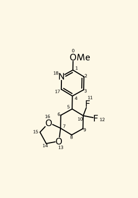 COc1ccc(C2CC3(CCC2(F)F)OCCO3)cn1